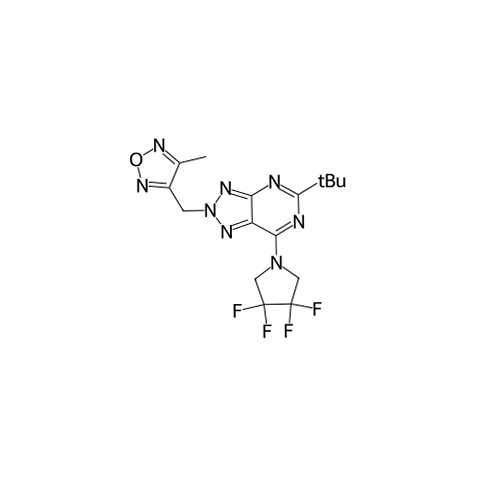 Cc1nonc1Cn1nc2nc(C(C)(C)C)nc(N3CC(F)(F)C(F)(F)C3)c2n1